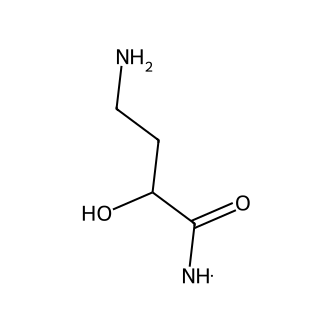 [NH]C(=O)C(O)CCN